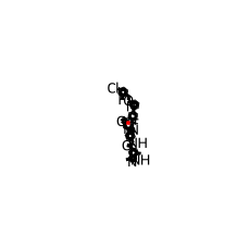 Cc1n[nH]c2c(C)cc(C(=O)Nc3ccc4c(c3)nc(C(F)(F)N3CC=C(c5cccc(OCc6ccc(Cl)cc6F)n5)CC3)n4CC3CCO3)cc12